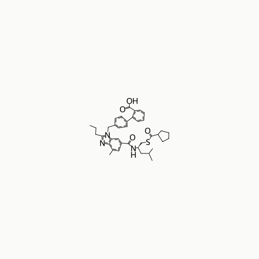 CCCc1nc2c(C)cc(C(=O)N[C@@H](CSC(=O)C3CCCC3)CC(C)C)cc2n1Cc1ccc(-c2ccccc2C(=O)O)cc1